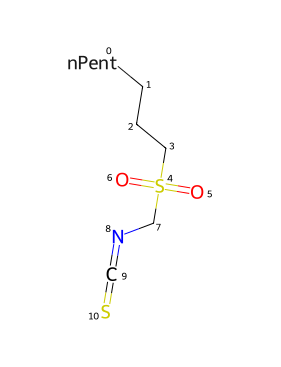 CCCCCCCCS(=O)(=O)CN=C=S